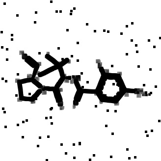 CC(C)(C)[C@H](NC(=O)c1ccc(N)cc1F)C(=O)N1CCC[C@H]1C=O